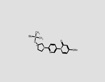 CSc1ccn(-c2ccc(N3CC[C@@H](O[Si](C)(C)C(C)(C)C)C3)nc2)c(=O)c1